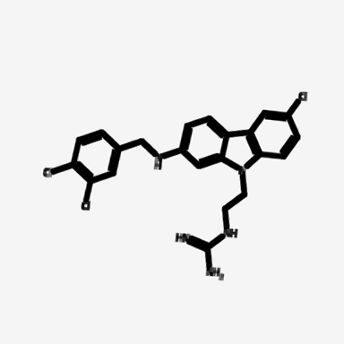 N=C(N)NCCn1c2ccc(Cl)cc2c2ccc(NCc3ccc(Cl)c(Cl)c3)cc21